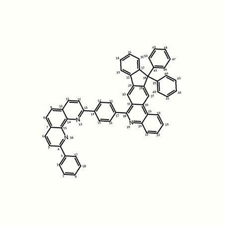 c1ccc(-c2ccc3ccc4ccc(-c5ccc(-c6nc7ccccc7c7cc8c(cc67)-c6ccccc6C8(c6ccccc6)c6ccccc6)cc5)nc4c3n2)cc1